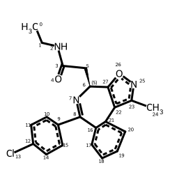 CCNC(=O)C[C@@H]1N=C(c2ccc(Cl)cc2)c2ccccc2-c2c(C)noc21